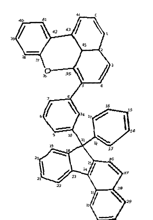 C1=CC2C=CC(c3cccc(C4(c5ccccc5)c5ccccc5-c5c4ccc4ccccc54)c3)=C3Oc4ccccc4C(=C1)C32